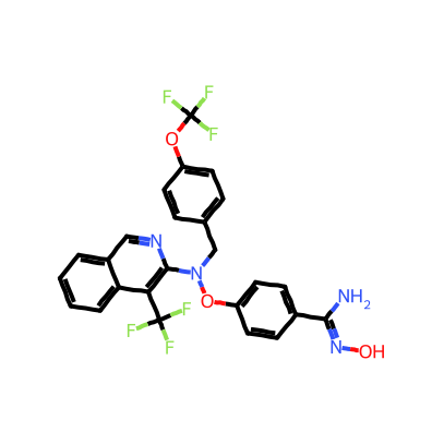 N/C(=N\O)c1ccc(ON(Cc2ccc(OC(F)(F)F)cc2)c2ncc3ccccc3c2C(F)(F)F)cc1